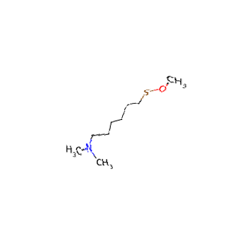 COSCCCCCCN(C)C